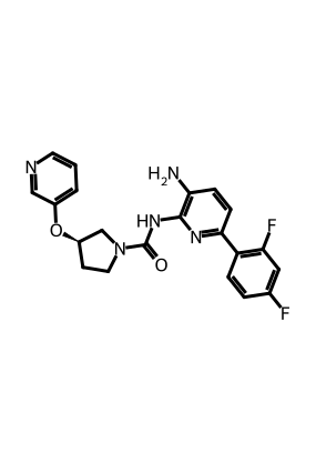 Nc1ccc(-c2ccc(F)cc2F)nc1NC(=O)N1CC[C@@H](Oc2cccnc2)C1